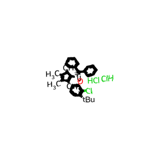 CC1=C(C)C(C)[C]([Ti]([O]c2cccc(C(C)(C)C)c2Cl)=[C](c2ccccc2)c2ccccc2)=C1C.Cl.Cl